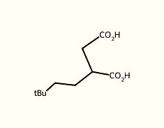 CC(C)(C)CCC(CC(=O)O)C(=O)O